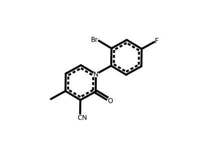 Cc1ccn(-c2ccc(F)cc2Br)c(=O)c1C#N